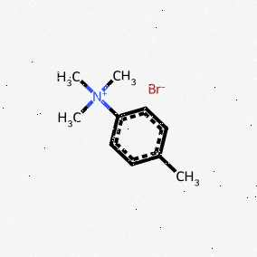 Cc1ccc([N+](C)(C)C)cc1.[Br-]